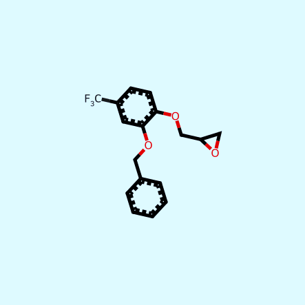 FC(F)(F)c1ccc(OCC2CO2)c(OCc2ccccc2)c1